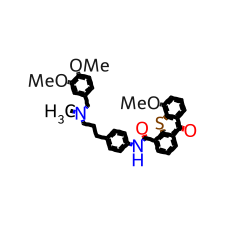 COc1ccc(CN(C)CCCc2ccc(NC(=O)c3cccc4c(=O)c5cccc(OC)c5sc34)cc2)cc1OC